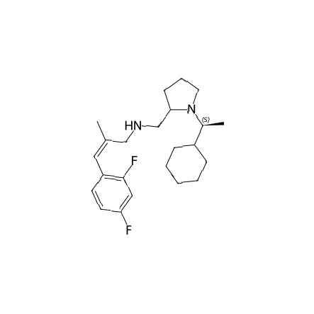 CC(=Cc1ccc(F)cc1F)CNCC1CCCN1[C@@H](C)C1CCCCC1